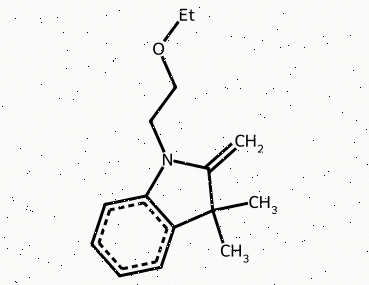 C=C1N(CCOCC)c2ccccc2C1(C)C